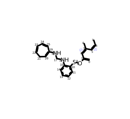 C=C(/C=C(C)\C=C/C)OSc1ccccc1NCNC1=CCC=CC=C1